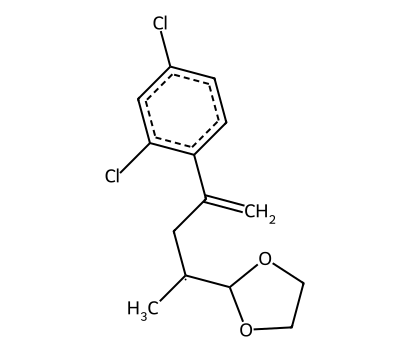 C=C(C[C](C)C1OCCO1)c1ccc(Cl)cc1Cl